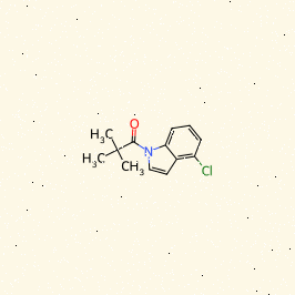 CC(C)(C)C(=O)n1ccc2c(Cl)cccc21